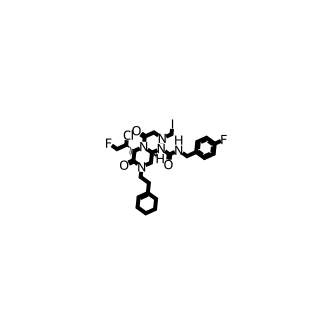 O=C1[C@H](C(Cl)CF)N2C(=O)CN(CI)N(C(=O)NCc3ccc(F)cc3)[C@H]2CN1CCC1=CCCCC1